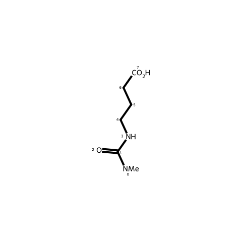 CNC(=O)NCCCC(=O)O